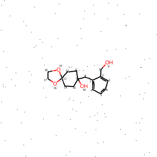 OCc1ccccc1CC1(O)CCC2(CC1)OCCO2